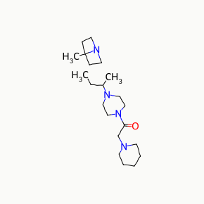 CC12CCN1CC2.CCC(C)N1CCN(C(=O)CN2CCCCC2)CC1